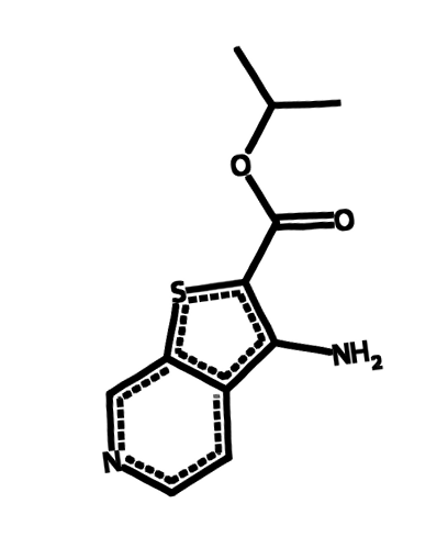 CC(C)OC(=O)c1sc2cnccc2c1N